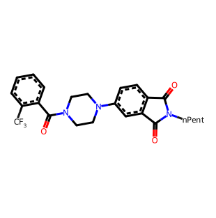 CCCCCN1C(=O)c2ccc(N3CCN(C(=O)c4ccccc4C(F)(F)F)CC3)cc2C1=O